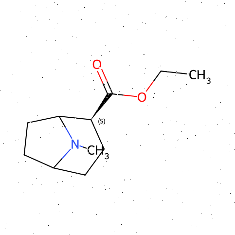 CCOC(=O)[C@H]1CCC2CCC1N2C